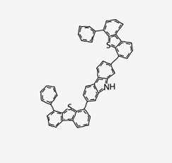 c1ccc(-c2cccc3c2sc2c(-c4ccc5c(c4)[nH]c4cc(-c6cccc7c6sc6c(-c8ccccc8)cccc67)ccc45)cccc23)cc1